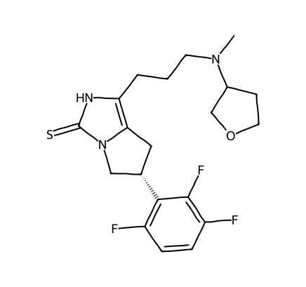 CN(CCCc1[nH]c(=S)n2c1C[C@H](c1c(F)ccc(F)c1F)C2)C1CCOC1